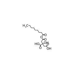 CCCCCCCCC(=O)OC(=O)CC(O)(CC(=O)O)C(=O)O